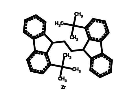 CC(C)(C)c1cccc2c1C(CCC1c3ccccc3-c3cccc(C(C)(C)C)c31)c1ccccc1-2.[Zr]